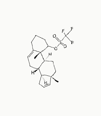 C[C@@]12C=CC[C@H]1[C@@H]1CC=C3CCCC(OS(=O)(=O)C(F)(F)F)[C@]3(C)[C@H]1CC2